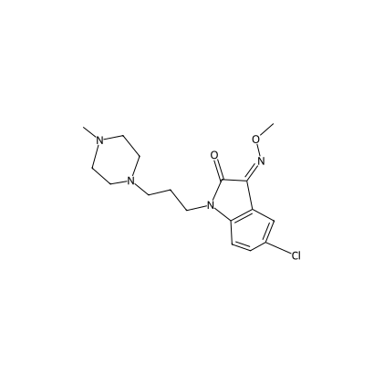 CON=C1C(=O)N(CCCN2CCN(C)CC2)c2ccc(Cl)cc21